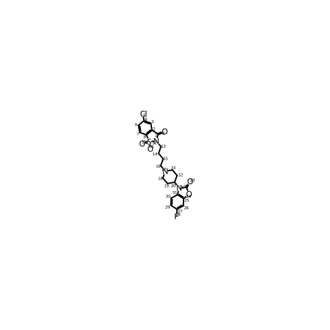 O=C1c2cc(Cl)ccc2S(=O)(=O)N1CCCCN1CCC(n2c(=O)oc3cc(F)ccc32)CC1